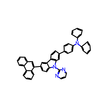 c1ccc(N(c2ccccc2)c2ccc(-c3ccc4c5cc(-c6cc7ccccc7c7ccccc67)ccc5n(-c5ncccn5)c4c3)cc2)cc1